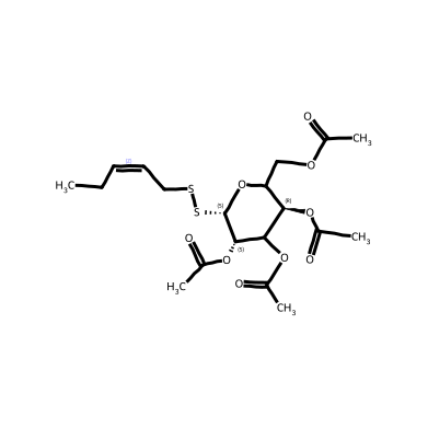 CC/C=C\CSS[C@@H]1OC(COC(C)=O)[C@@H](OC(C)=O)C(OC(C)=O)[C@@H]1OC(C)=O